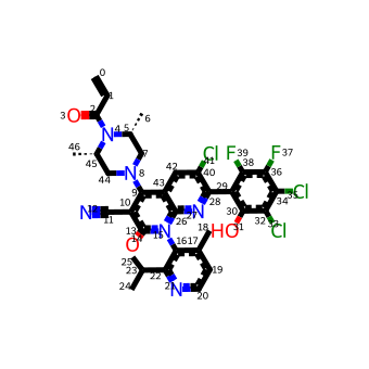 C=CC(=O)N1[C@H](C)CN(c2c(C#N)c(=O)n(-c3c(C)ccnc3C(C)C)c3nc(-c4c(O)c(Cl)c(Cl)c(F)c4F)c(Cl)cc23)C[C@@H]1C